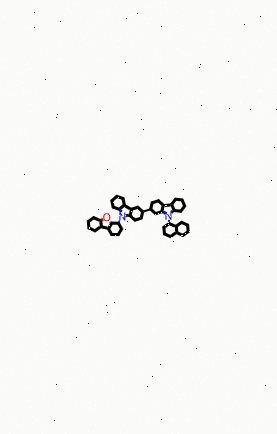 c1ccc2c(-n3c4ccccc4c4ccc(-c5ccc6c(c5)c5ccccc5n6-c5cccc6c5oc5ccccc56)cc43)cccc2c1